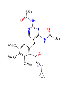 COc1cc(Cc2cnc(NC(=O)C(C)(C)C)nc2NC(=O)C(C)(C)C)c(C(=O)/C=C/C2CC2)c(OC)c1OC